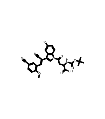 COc1ccc(C#N)cc1/C=C(\C#N)c1cn(C(=O)CC(NC(=O)OC(C)(C)C)C(=O)O)c2ccc(Br)cc12